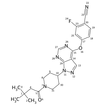 CC(C)(C)CC(=O)N1CCC(n2ncc3c(Oc4ccc(C#N)c(F)c4)ncnc32)CC1